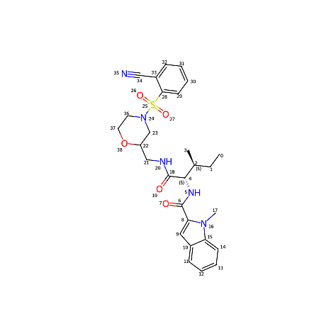 CC[C@H](C)[C@H](NC(=O)c1cc2ccccc2n1C)C(=O)NCC1CN(S(=O)(=O)c2ccccc2C#N)CCO1